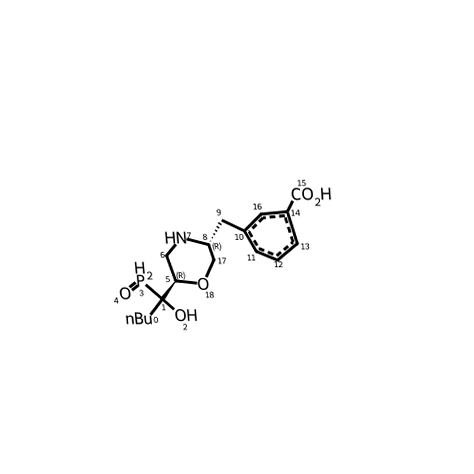 CCCCC(O)([PH2]=O)[C@H]1CN[C@H](Cc2cccc(C(=O)O)c2)CO1